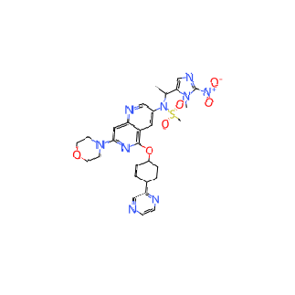 CC(c1cnc([N+](=O)[O-])n1C)N(c1cnc2cc(N3CCOCC3)nc(OC3CCC(c4cnccn4)CC3)c2c1)S(C)(=O)=O